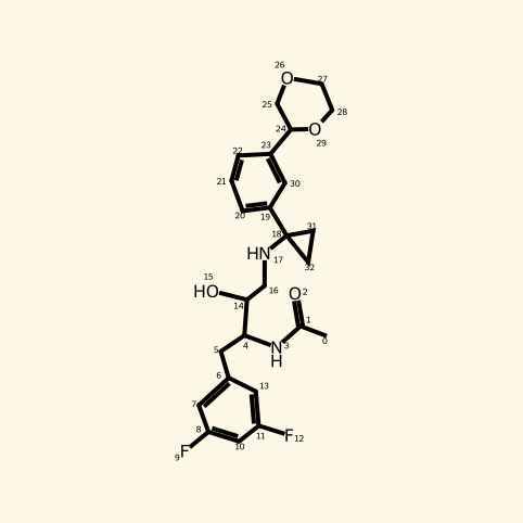 CC(=O)NC(Cc1cc(F)cc(F)c1)C(O)CNC1(c2cccc(C3COCCO3)c2)CC1